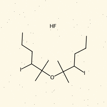 CCCC(I)C(C)(C)OC(C)(C)C(I)CCC.F